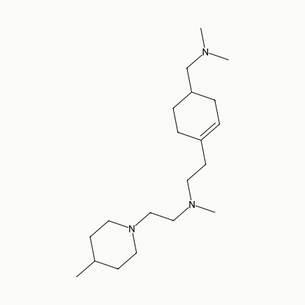 CC1CCN(CCN(C)CCC2=CCC(CN(C)C)CC2)CC1